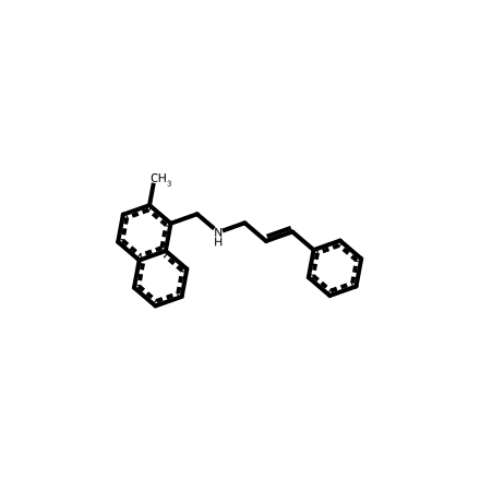 Cc1ccc2ccccc2c1CNC/C=C/c1ccccc1